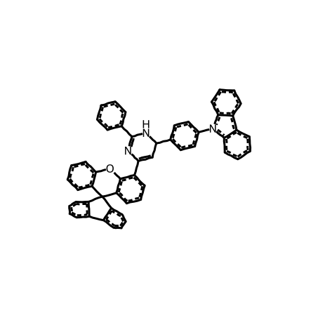 C1=C(c2cccc3c2Oc2ccccc2C32c3ccccc3-c3ccccc32)N=C(c2ccccc2)NC1c1ccc(-n2c3ccccc3c3ccccc32)cc1